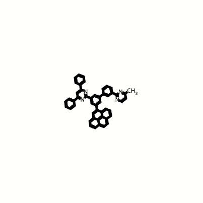 Cc1ccnc(-c2cccc(-c3cc(-c4nc(-c5ccccc5)cc(-c5ccccc5)n4)cc(-c4cc5cccc6ccc7cccc4c7c65)c3)c2)n1